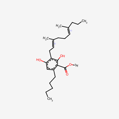 [2H]OC(=O)c1c(CCCCC)cc(O)c(C/C=C(\C)CC/C=C(\C)CCC)c1O